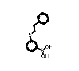 OB(O)c1cccc(SCCc2ccccc2)c1